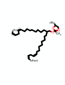 CCCCC/C=C\C/C=C\CCCCCCCCC(CCCCCCCC/C=C\C/C=C\CCCCC)COC1(C)OCC(CCCC)O1